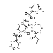 C=CC(=O)N1CCCC[C@@H](n2c(NC(=O)c3ccnc(C)c3)nc3ccc(OC(=O)N4CCOCC4)c(Cl)c32)C1